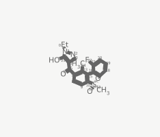 CCn1ncc(C(=O)c2ccc(S(C)(=O)=O)c(-c3ccccc3F)c2C)c1O